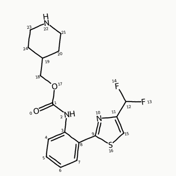 O=C(Nc1ccccc1-c1nc(C(F)F)cs1)OCC1CCNCC1